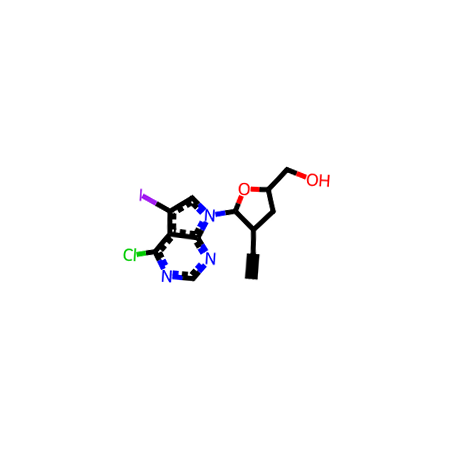 C#CC1CC(CO)OC1n1cc(I)c2c(Cl)ncnc21